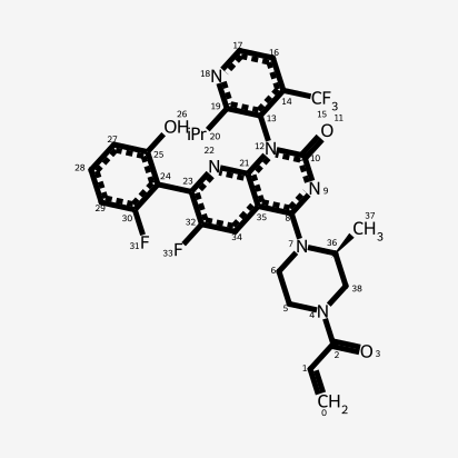 C=CC(=O)N1CCN(c2nc(=O)n(-c3c(C(F)(F)F)ccnc3C(C)C)c3nc(-c4c(O)cccc4F)c(F)cc23)[C@@H](C)C1